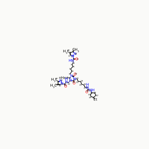 CCCCCCC1N(CCCCCCNC(=O)n2cc(C)c(C)n2)C(=O)N(CCCCCCNC(=O)NC2CCC(CC)CC2)C(=O)N1CNC(=O)n1cc(C)c(C)n1